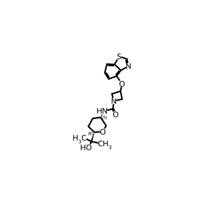 CC(C)(O)[C@H]1CC[C@H](NC(=O)N2CC(Oc3cccc4scnc34)C2)CO1